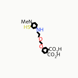 CNc1ccc(NCCCOCCOc2ccc(C(=O)O)c(C(=O)O)c2)cc1S